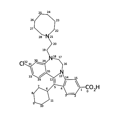 O=C(O)c1ccc2c(C3CCCCC3)c3n(c2c1)CCN(CCN1CCCCCCC1)c1cc(Cl)ccc1-3